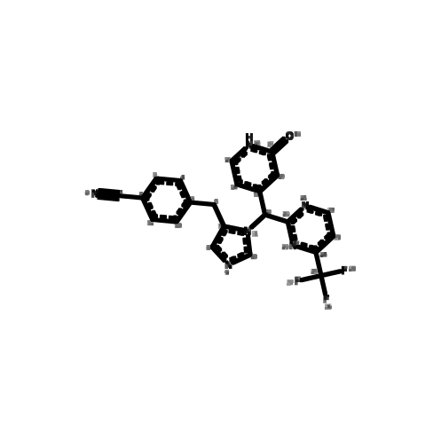 N#Cc1ccc(Cc2cncn2C(c2cc[nH]c(=O)c2)c2nccc(C(F)(F)F)n2)cc1